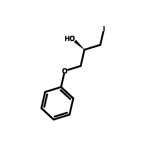 O[C@H](CI)COc1ccccc1